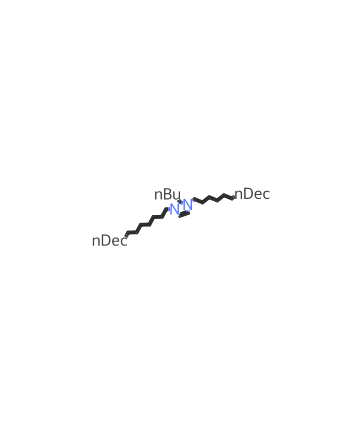 CCCCCCCCCCCCCCCCCN1C=CN(CCCCCCCCCCCCCCCC)C1CCCC